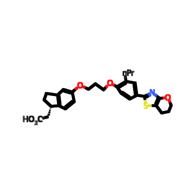 CCCc1cc(-c2nc3c(s2)CCCO3)ccc1OCCCOc1ccc2c(c1)CC[C@H]2CC(=O)O